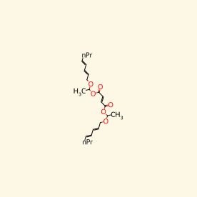 CCCC=CC=CCOC(C)OC(=O)C=CC(=O)OC(C)OCC=CC=CCCC